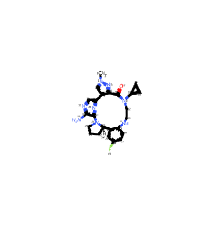 Cn1cc2c(n1)C(=O)N(C1CC1)CCNc1ccc(F)cc1[C@H]1CCCN1c1nc-2cnc1N